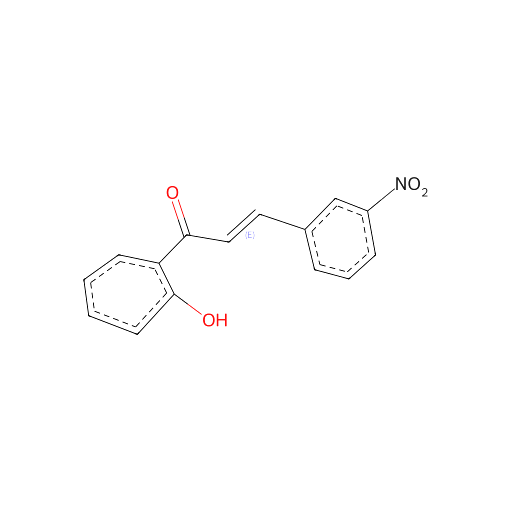 O=C(/C=C/c1cccc([N+](=O)[O-])c1)c1ccccc1O